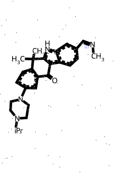 C/N=C\c1ccc2c3c([nH]c2c1)C(C)(C)c1ccc(N2CCN(C(C)C)CC2)cc1C3=O